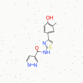 Cc1cc(-c2csc(NC(=O)c3ccnnc3)n2)ccc1O